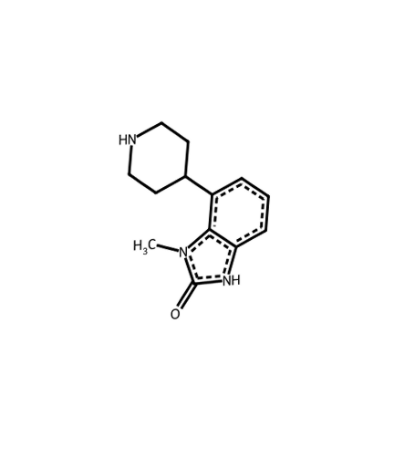 Cn1c(=O)[nH]c2cccc(C3CCNCC3)c21